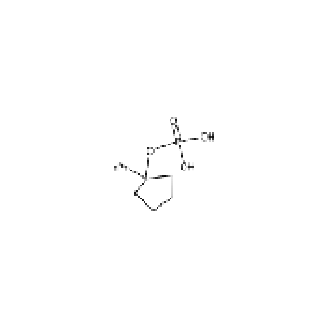 CCCC1(OP(=O)(O)O)CCCC1